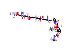 CC(=O)N(O)CCCCCNC(=O)CCC(=O)N(O)CCCCCNC(=O)CCC(=O)N(O)CCCCCNC(=O)COc1cccc(C(=O)NCC(=O)N[C@@H](Cc2ccc(OCC(=O)NCCN3C(=O)C=CC3=O)cc2)C(=O)OC(C)(C)C)c1